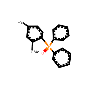 COc1cc(C(C)(C)C)ccc1P(=O)(c1ccccc1)c1ccccc1